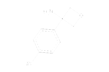 CC(C)c1ccc(C2(N)COC2)cc1